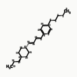 CCCCCc1ccc(C=CC=C[C@H]2CC[C@H](CCC)CC2)cc1